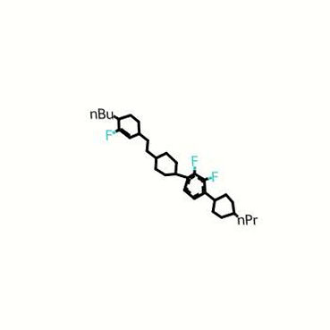 CCCCC1CCC(CCC2CCC(c3ccc(C4CCC(CCC)CC4)c(F)c3F)CC2)C=C1F